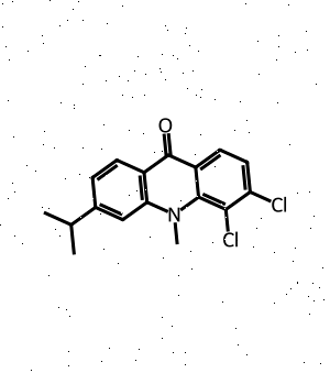 CC(C)c1ccc2c(=O)c3ccc(Cl)c(Cl)c3n(C)c2c1